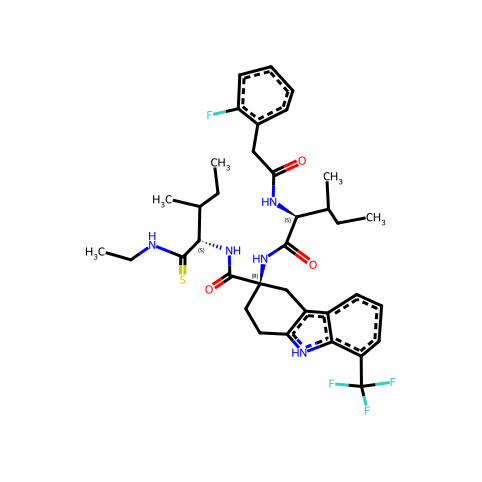 CCNC(=S)[C@@H](NC(=O)[C@@]1(NC(=O)[C@@H](NC(=O)Cc2ccccc2F)C(C)CC)CCc2[nH]c3c(C(F)(F)F)cccc3c2C1)C(C)CC